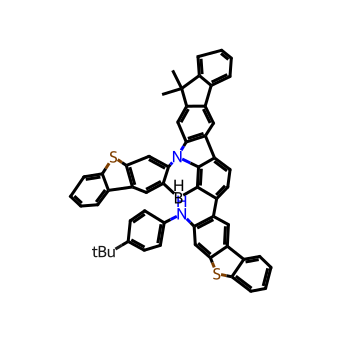 CC(C)(C)c1ccc(Nc2cc3sc4ccccc4c3cc2-c2ccc3c4cc5c(cc4n4c3c2Bc2cc3c(cc2-4)sc2ccccc23)C(C)(C)c2ccccc2-5)cc1